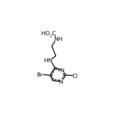 O=C(O)NCCNc1nc(Cl)ncc1Br